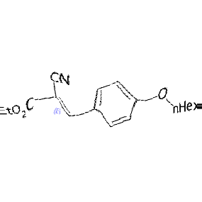 CCCCCCOc1ccc(/C=C(\C#N)C(=O)OCC)cc1